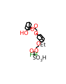 CCC1(OCCOC(=O)C(F)(F)S(=O)(=O)O)C2CC3CC1CC(OCC(=O)OC14CC5CC(CC(O)(C5)C1)C4)(C3)C2